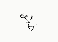 C=CC(=O)OC(C=C)c1ccccc1